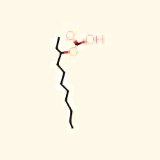 CCCCCCCCC(CC)OC(=O)O